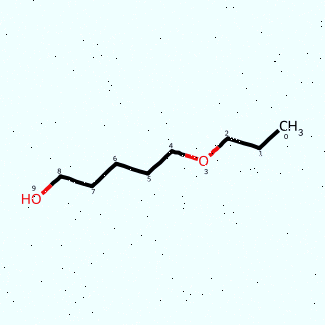 CCCOCCCCCO